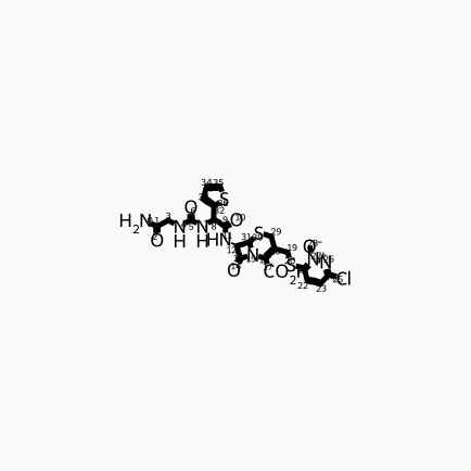 NC(=O)CNC(=O)NC(C(=O)N[C@H]1C(=O)N2C(C(=O)O)=C(CSc3ccc(Cl)n[n+]3[O-])CSC12)c1cccs1